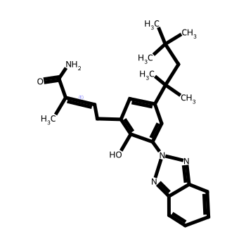 C/C(=C\Cc1cc(C(C)(C)CC(C)(C)C)cc(-n2nc3ccccc3n2)c1O)C(N)=O